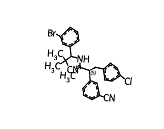 C[C@H](NC(c1cccc(Br)c1)C(C)(C)C#N)[C@@H](Cc1ccc(Cl)cc1)c1cccc(C#N)c1